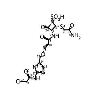 NC(=O)CS[C@@H]1[C@H](NC(=O)C=NOCc2csc(NC(=O)CCl)n2)C(=O)N1S(=O)(=O)O